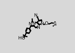 Cc1nc(-c2ccc(C(C)(C)O)cc2)c2cnc3c(c(C#N)cn3COCC[Si](C)(C)C)n12